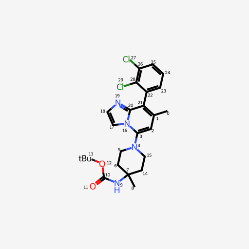 Cc1cc(N2CCC(C)(NC(=O)OC(C)(C)C)CC2)n2ccnc2c1-c1cccc(Cl)c1Cl